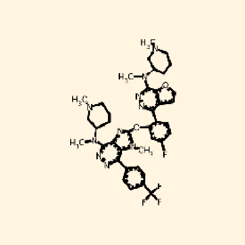 CN1CCC[C@@H](N(C)c2nnc(-c3ccc(C(F)(F)F)cc3)c3c2nc(Oc2cc(F)ccc2-c2nnc(N(C)[C@@H]4CCCN(C)C4)c4occc24)n3C)C1